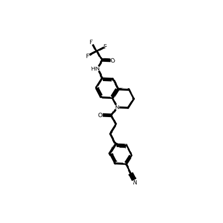 N#Cc1ccc(CCC(=O)N2CCCc3cc(NC(=O)C(F)(F)F)ccc32)cc1